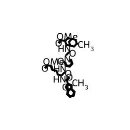 COC(=O)/C=C/CCC(NC(=O)c1oc2ccccc2c1C)C(=O)Nc1cccn(CC(=O)NC23CC(C)CC(CC(C(=O)OC)C2)C3)c1=O